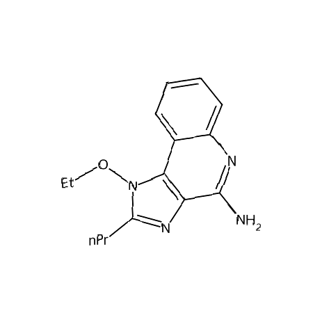 CCCc1nc2c(N)nc3ccccc3c2n1OCC